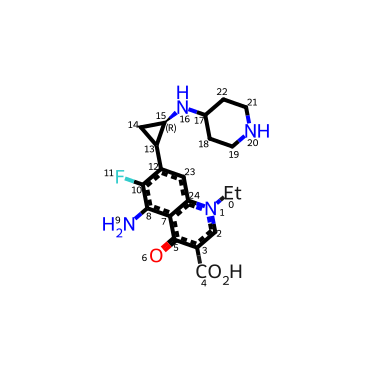 CCn1cc(C(=O)O)c(=O)c2c(N)c(F)c(C3C[C@H]3NC3CCNCC3)cc21